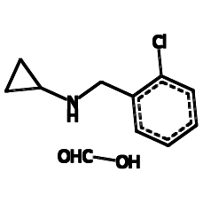 Clc1ccccc1CNC1CC1.O=CO